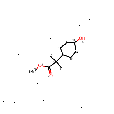 CC(C)(C)OC(=O)C(C)(C)C1CCC(O)CC1